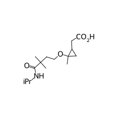 CC(C)NC(=O)C(C)(C)CCOC1(C)CC1CC(=O)O